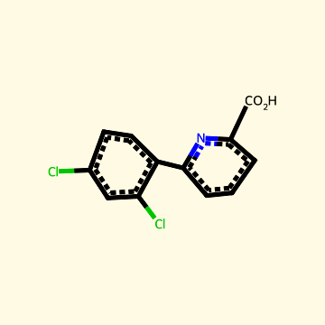 O=C(O)c1cccc(-c2ccc(Cl)cc2Cl)n1